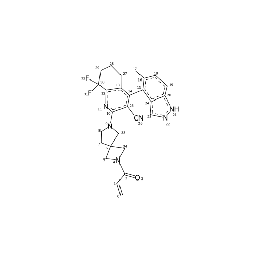 C=CC(=O)N1CC2(CCN(c3nc4c(c(-c5c(C)ccc6[nH]ncc56)c3C#N)CCCC4(F)F)C2)C1